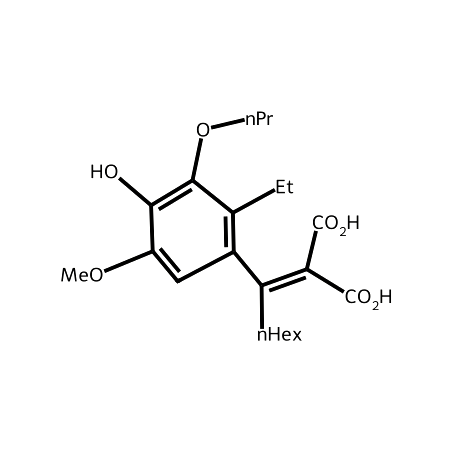 CCCCCCC(=C(C(=O)O)C(=O)O)c1cc(OC)c(O)c(OCCC)c1CC